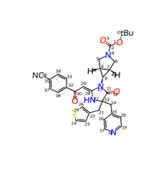 CC(C)(C)OC(=O)N1C[C@@H]2[C@H](C1)[C@H]2N1C(=O)C(Cc2ccncc2)(Cc2ccsc2)N/C1=C\C(=O)c1ccc(C#N)cc1